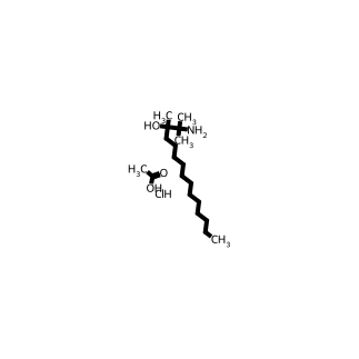 CC(=O)O.CCCCCCCCCCCCC(C)(O)C(C)(C)N.Cl